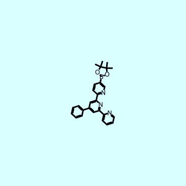 CC1(C)OB(c2ccc(-c3cc(-c4ccccc4)cc(-c4ccccn4)n3)nc2)OC1(C)C